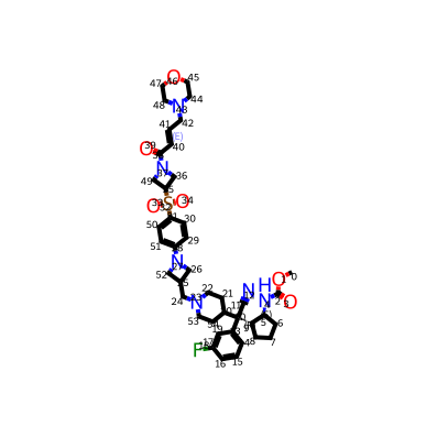 COC(=O)N[C@H]1CCC[C@@H]1C(C#N)(c1cccc(F)c1)C1CCN(CC2CN(c3ccc(S(=O)(=O)C4CN(C(=O)/C=C/CN5CCOCC5)C4)cc3)C2)CC1